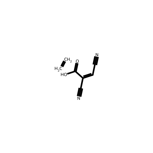 C=C.N#CC=C(C#N)C(=O)O